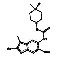 COc1cc2nc(C(C)(C)C)n(C)c2cc1NC(=O)SN1CC[N+](C)([O-])CC1